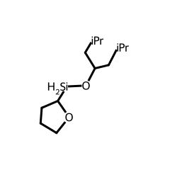 CC(C)CC(CC(C)C)O[SiH2]C1CCCO1